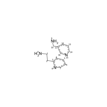 NCCc1ccccn1.NCc1cccnc1